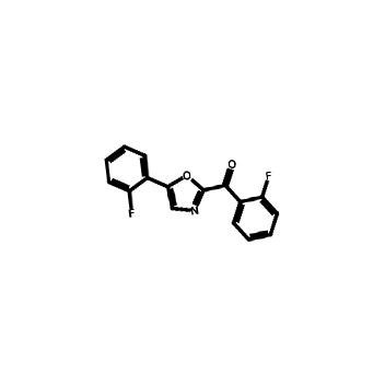 O=C(c1ncc(-c2ccccc2F)o1)c1ccccc1F